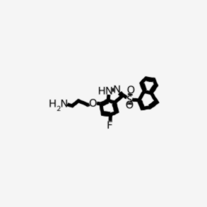 NCCCOc1cc(F)cc2c(S(=O)(=O)c3cccc4ccccc34)n[nH]c12